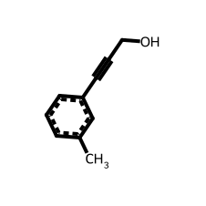 Cc1cccc(C#CCO)c1